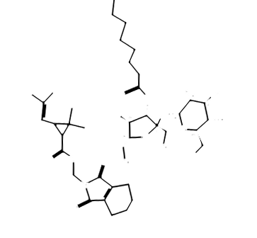 CC(C)=CC1C(C(=O)OCN2C(=O)C3=C(CCCC3)C2=O)C1(C)C.CCCCCCCC(=O)O[C@H]1[C@H](O)[C@@H](CO)O[C@@]1(CO)O[C@H]1O[C@H](CO)[C@@H](O)[C@H](O)[C@H]1O